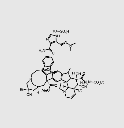 CCOC(N)=O.CC[C@]1(O)C[C@H]2C[N@](CCc3c([nH]c4ccccc34)[C@@](C(=O)OC)(c3cc4c(cc3OC)N(C)[C@H]3[C@@](O)(C(N)=O)[C@H](O)[C@]5(CC)C=CCN6CC[C@]43[C@@H]65)C2)C1.CN(C)/N=N/c1[nH]cnc1C(N)=O.O=S(=O)(O)O